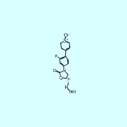 N=NC[C@H]1CN(c2ccc(C3=CC[S+]([O-])CC3)c(F)c2)C(=O)O1